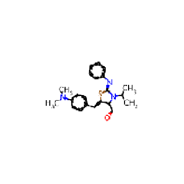 CC(C)N1C(=Nc2ccccc2)SC(=Cc2ccc(N(C)C)cc2)C1C=O